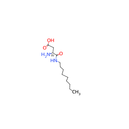 CCCCCCCCCNC(=O)[C@@H](N)CC(=O)O